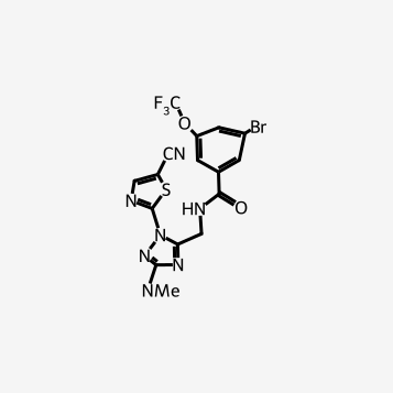 CNc1nc(CNC(=O)c2cc(Br)cc(OC(F)(F)F)c2)n(-c2ncc(C#N)s2)n1